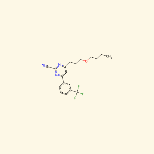 CCCCOCCCc1cc(-c2cccc(C(F)(F)F)c2)nc(C#N)n1